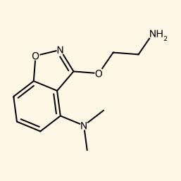 CN(C)c1cccc2onc(OCCN)c12